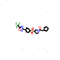 O=C(Cc1ccccc1)N1CCC(S(=O)(=O)c2ccc(-c3noc(C(F)(F)F)n3)cc2)C1